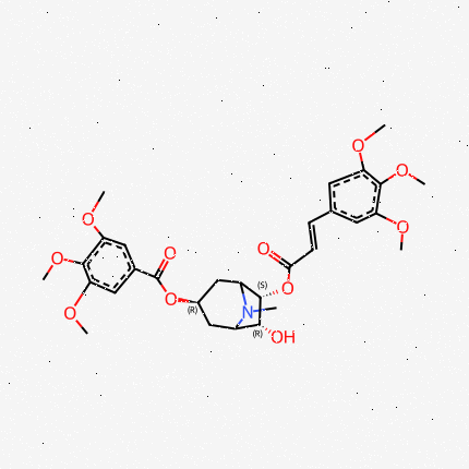 COc1cc(C=CC(=O)O[C@H]2C3C[C@H](OC(=O)c4cc(OC)c(OC)c(OC)c4)CC([C@H]2O)N3C)cc(OC)c1OC